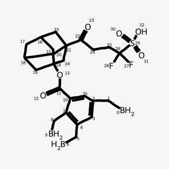 BCc1cc(CB)c(CB)c(C(=O)OC23CC4CC(C2)CC(C(=O)CCC(F)(F)S(=O)(=O)O)(C4)C3)c1